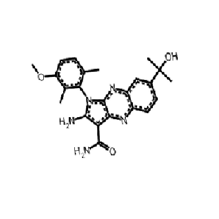 COc1ccc(C)c(-n2c(N)c(C(N)=O)c3nc4ccc(C(C)(C)O)cc4nc32)c1C